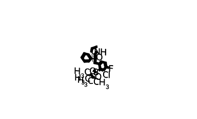 CC1(C)OB(c2c(Cl)c(F)cc3c2C[C@](c2ccccc2)([C@@H]2CCCN2)O3)OC1(C)C